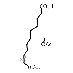 CCCCCCCC/C=C\CCCCCCCC(=O)O.COC(C)=O